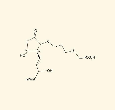 CCCCCC(O)C=C[C@@H]1C(SCCCSCC(=O)O)C(=O)C[C@H]1O